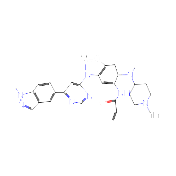 C=CC(=O)NC1=CC(Nc2cc(-c3ccc4c(cnn4C)c3)ncn2)=C(OC)CC1N(C)C1CCN(C(C)C)CC1